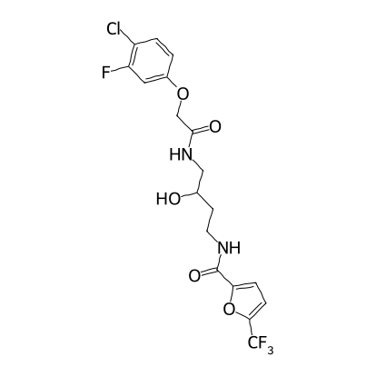 O=C(COc1ccc(Cl)c(F)c1)NCC(O)CCNC(=O)c1ccc(C(F)(F)F)o1